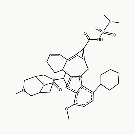 COc1ccc(C2CCCCC2)c2c1cc1n2CC2=C(C(=O)NS(=O)(=O)N(C)C)C2=C2C=CC[C@@H](C(=O)N3C4CN(C)CC3CN(C(C)C)C4)C21